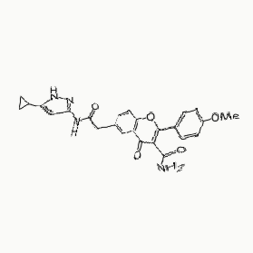 COc1ccc(-c2oc3ccc(CC(=O)Nc4cc(C5CC5)[nH]n4)cc3c(=O)c2C(N)=O)cc1